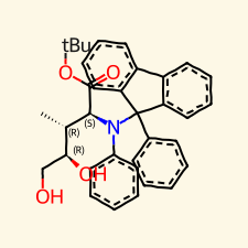 C[C@H]([C@@H](C(=O)OC(C)(C)C)N(c1ccccc1)C1(c2ccccc2)c2ccccc2-c2ccccc21)[C@@H](O)CO